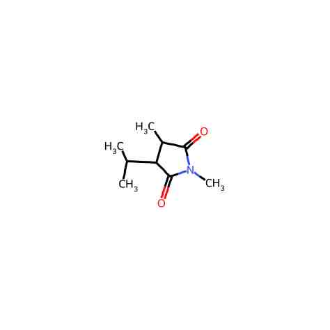 CC(C)C1C(=O)N(C)C(=O)C1C